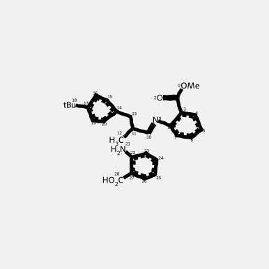 COC(=O)c1ccccc1N=CC(C)Cc1ccc(C(C)(C)C)cc1.Nc1ccccc1C(=O)O